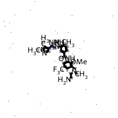 COc1c(CN(C)CCN)cc(C(F)(F)F)cc1NC(=O)c1ccc(C)c(N(N)/C=C(\N)c2cnn(C)c2C)c1